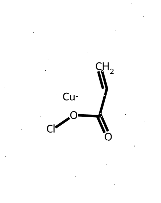 C=CC(=O)OCl.[Cu]